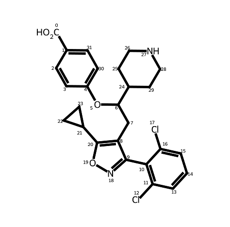 O=C(O)c1ccc(OC(Cc2c(-c3c(Cl)cccc3Cl)noc2C2CC2)C2CCNCC2)cc1